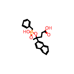 CC(CCC(=O)O)(OP(=O)(O)Cc1ccccc1)c1ccc2ccccc2c1